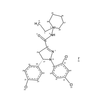 CC[N+]1(NC(=O)C2=NN(c3ccc(Cl)cc3Cl)[C@H](c3ccc(Cl)cc3)C2)CCCCC1.[I-]